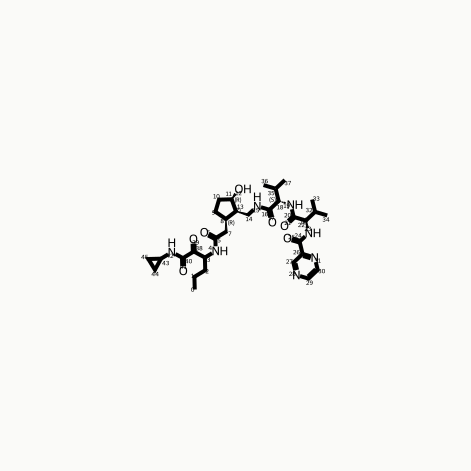 CCCC(NC(=O)C[C@H]1CC[C@@H](O)[C@H]1CNC(=O)[C@@H](NC(=O)[C@H](NC(=O)c1cnccn1)C(C)C)C(C)C)C(=O)C(=O)NC1CC1